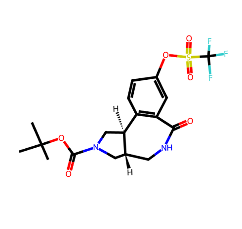 CC(C)(C)OC(=O)N1C[C@H]2CNC(=O)c3cc(OS(=O)(=O)C(F)(F)F)ccc3[C@@H]2C1